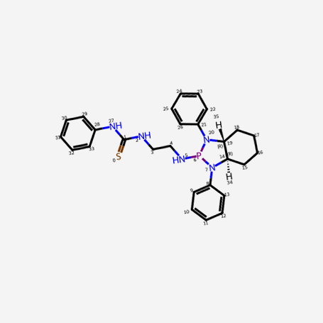 S=C(NCCNP1N(c2ccccc2)[C@@H]2CCCC[C@H]2N1c1ccccc1)Nc1ccccc1